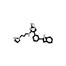 Nc1ncc(-c2cccc(-c3cc4ccccc4[nH]3)c2)c(NCCCN2CC=CN2)n1